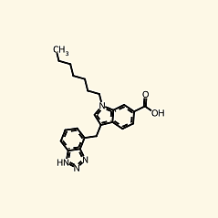 CCCCCCCn1cc(Cc2cccc3[nH]nnc23)c2ccc(C(=O)O)cc21